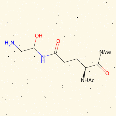 CNC(=O)[C@H](CCC(=O)NC(O)CN)NC(C)=O